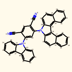 N#Cc1cc(C#N)c(-n2c3ccc4ccccc4c3c3c4ccccc4ccc32)cc1-n1c2ccccc2c2ccccc21